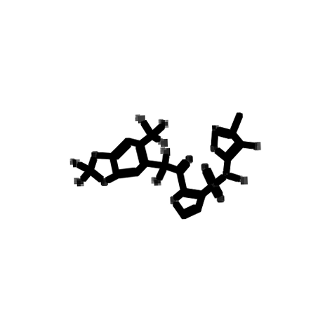 [2H]N(c1onc(C)c1Cl)S(=O)(=O)c1ccsc1C(=O)C([2H])([2H])c1cc2c(cc1C([2H])([2H])[2H])OC([2H])([2H])O2